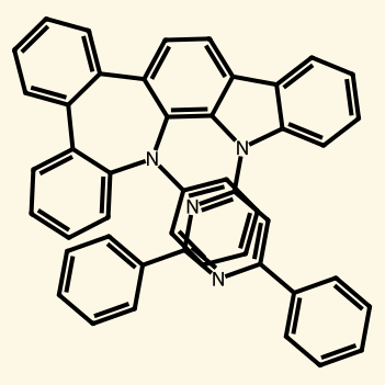 c1ccc(-c2cc(-n3c4ccccc4c4ccc5c(c43)N(c3ccccc3)c3ccccc3-c3ccccc3-5)nc(-c3ccccc3)n2)cc1